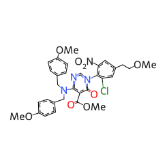 COCCc1cc(Cl)c(-n2cnc(N(Cc3ccc(OC)cc3)Cc3ccc(OC)cc3)c(C(=O)OC)c2=O)c([N+](=O)[O-])c1